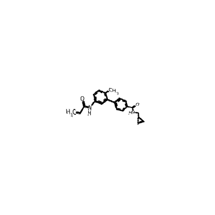 CCC(=O)Nc1ccc(C)c(-c2ccc(C(=O)NCC3CC3)cc2)c1